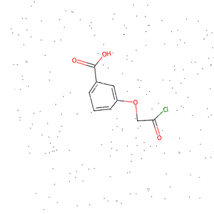 O=C(Cl)COc1cccc(C(=O)O)c1